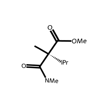 CNC(=O)[C@@](C)(C(=O)OC)C(C)C